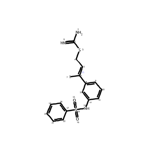 N=C(N)SC/C=C(\I)c1cccc(NS(=O)(=O)c2ccccc2)c1